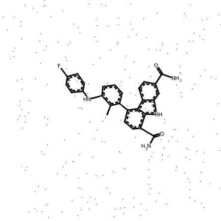 Cc1c(Nc2ccc(F)cc2)cccc1-c1ccc(C(N)=O)c2[nH]c3cc(C(N)=O)ccc3c12